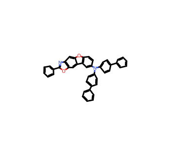 c1ccc(-c2ccc(N(c3ccc(-c4ccccc4)cc3)c3ccc4oc5cc6nc(-c7ccccc7)oc6cc5c4c3)cc2)cc1